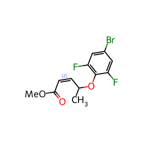 COC(=O)/C=C\C(C)Oc1c(F)cc(Br)cc1F